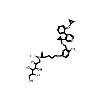 Cc1ccc(SCCCCC(=O)N(C)CC(O)C(O)C(O)C(O)CO)nc1COC1(c2cnccc2-c2ccccc2OC2CC2)CC1